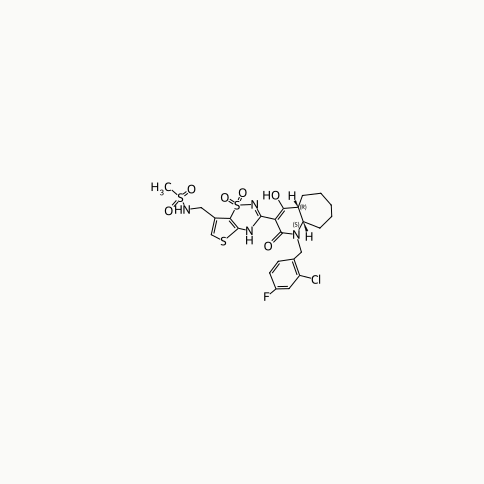 CS(=O)(=O)NCc1csc2c1S(=O)(=O)N=C(C1=C(O)[C@@H]3CCCCC[C@@H]3N(Cc3ccc(F)cc3Cl)C1=O)N2